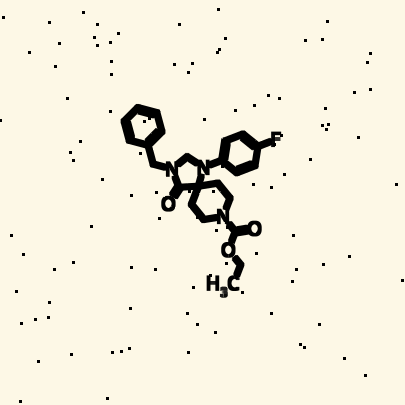 CCOC(=O)N1CCC2(CC1)C(=O)N(Cc1ccccc1)CN2c1ccc(F)cc1